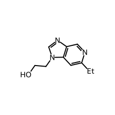 CCc1cc2c(cn1)ncn2CCO